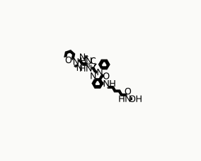 CC[C@H](Nc1ncnc2c1ncn2C1CCCCO1)c1nc2cccc(NCCCCCC(=O)NO)c2c(=O)n1-c1ccccc1